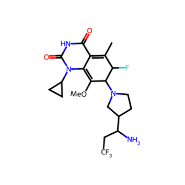 COC1=c2c(c(=O)[nH]c(=O)n2C2CC2)=C(C)C(F)C1N1CCC(C(N)CC(F)(F)F)C1